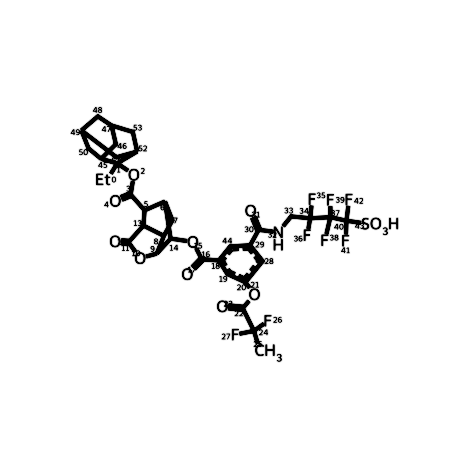 CCC1(OC(=O)C2C3CC4C(OC(=O)C42)C3OC(=O)c2cc(OC(=O)C(C)(F)F)cc(C(=O)NCC(F)(F)C(F)(F)C(F)(F)S(=O)(=O)O)c2)C2CC3CC(C2)CC1C3